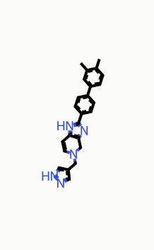 Cc1ccc(-c2ccc(-c3nc4c([nH]3)C=CN(Cc3cn[nH]c3)C4)cc2)cc1C